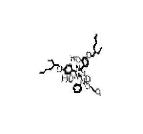 CCCCC(CC)COc1ccc(-c2nc(-c3ccc(OCC(CC)CCCC)cc3O)nc(N(C(=O)OCCOC)c3ccccc3)n2)c(O)c1